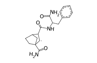 NC(=O)C(Cc1ccccc1)NC(=O)C1[CH]C2(C(N)=O)CCC1C2